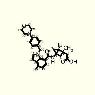 C[C@@]1(CC(=O)O)CC2(NC(=O)c3ccc(F)c4ccn(Cc5ccc(N6CCOCC6)cc5)c34)C[C@@H]21